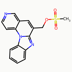 CS(=O)(=O)OCc1cc2cnccc2n2c1nc1ccccc12